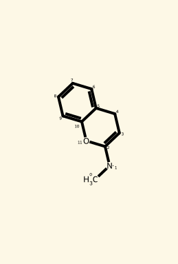 C[N]C1=CCc2ccccc2O1